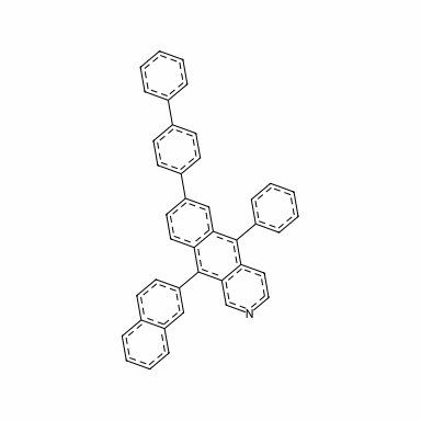 c1ccc(-c2ccc(-c3ccc4c(-c5ccc6ccccc6c5)c5cnccc5c(-c5ccccc5)c4c3)cc2)cc1